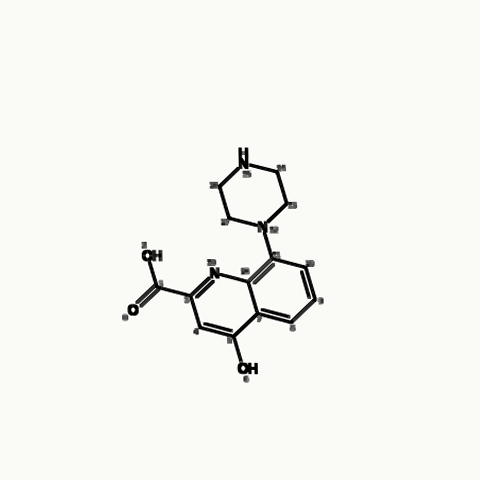 O=C(O)c1cc(O)c2cccc(N3CCNCC3)c2n1